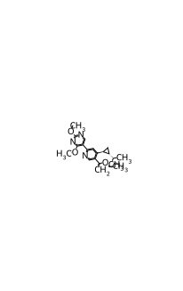 C=C(OCC)c1cnc(-c2cnc(OC)nc2OC)cc1[C@H]1C[C@@H]1C(C)C